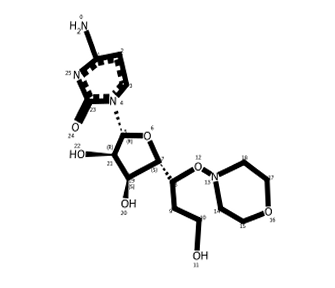 Nc1ccn([C@@H]2O[C@H](C(CCO)ON3CCOCC3)[C@@H](O)[C@H]2O)c(=O)n1